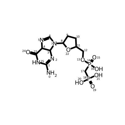 NC1=NC2C(N=CN2C2CCC(COP(=O)(O)CP(=O)(O)O)O2)C(=O)N1